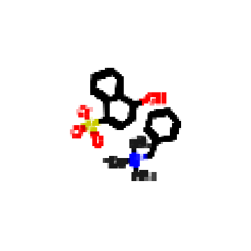 CCCC[N+](CCCC)(CCCC)Cc1ccccc1.O=S(=O)([O-])c1ccc(O)c2ccccc12